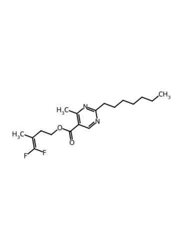 CCCCCCCc1ncc(C(=O)OCCC(C)=C(F)F)c(C)n1